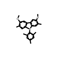 COc1cc2c(cc1C)B(c1c(C)cc(C)cc1C)c1cc(C)c(OC)cc1-2